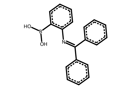 OB(O)c1ccccc1N=C(c1ccccc1)c1ccccc1